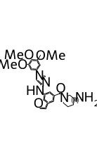 COc1cc(-n2cnc(Nc3cc(C(=O)N4CCC[C@@H](N)C4)cc4ccoc34)c2)cc(OC)c1OC